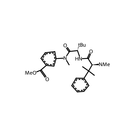 CN[C@H](C(=O)N[C@H](C(=O)N(C)c1cccc(C(=O)OC)c1)C(C)(C)C)C(C)(C)c1ccccc1